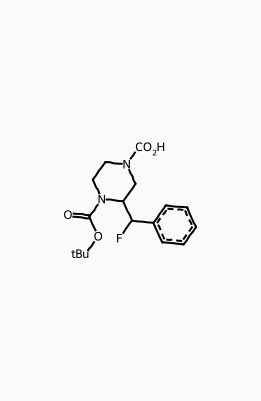 CC(C)(C)OC(=O)N1CCN(C(=O)O)CC1C(F)c1ccccc1